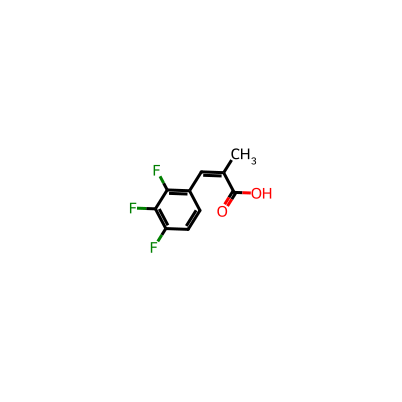 CC(=Cc1ccc(F)c(F)c1F)C(=O)O